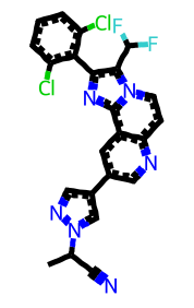 CC(C#N)n1cc(-c2cnc3ccn4c(C(F)F)c(-c5c(Cl)cccc5Cl)nc4c3c2)cn1